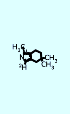 [2H]c1nn(C)c2c1CC(C)(C)CC2